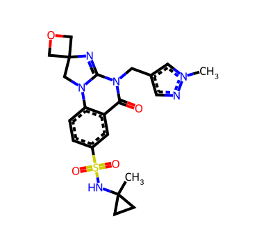 Cn1cc(CN2C(=O)c3cc(S(=O)(=O)NC4(C)CC4)ccc3N3CC4(COC4)N=C23)cn1